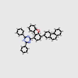 c1ccc(-c2nc(-c3ccccc3)nc(-c3ccc(-c4ccc5c(ccc6ccccc65)c4)c4oc5ccccc5c34)n2)cc1